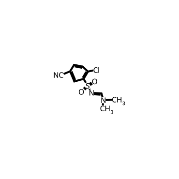 CN(C)C=NS(=O)(=O)c1cc(C#N)ccc1Cl